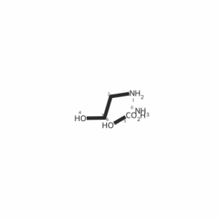 N.NCCO.O=C(O)O